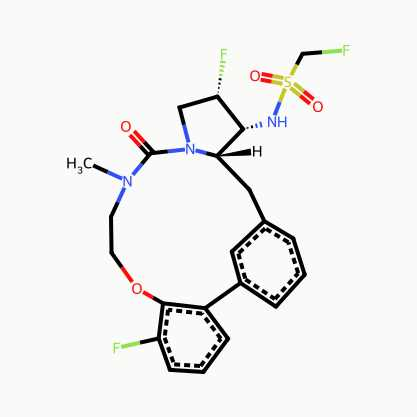 CN1CCOc2c(F)cccc2-c2cccc(c2)C[C@H]2[C@@H](NS(=O)(=O)CF)[C@@H](F)CN2C1=O